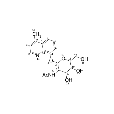 CC(=O)NC1C(Oc2cccc3c(C)ccnc23)OC(CO)C(O)C1O